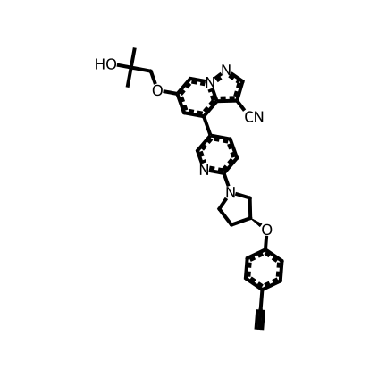 C#Cc1ccc(O[C@H]2CCN(c3ccc(-c4cc(OCC(C)(C)O)cn5ncc(C#N)c45)cn3)C2)cc1